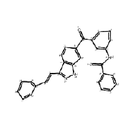 O=C(Nc1cccc(C(=O)c2ccc3c(/C=C/c4ccccc4)n[nH]c3c2)c1)c1ccccc1